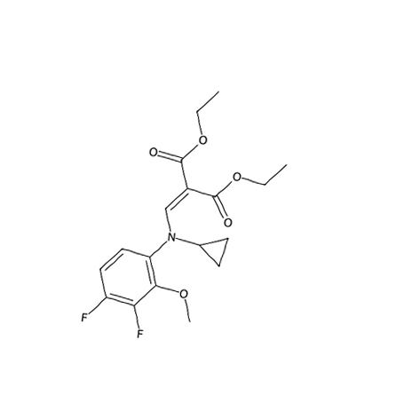 CCOC(=O)C(=CN(c1ccc(F)c(F)c1OC)C1CC1)C(=O)OCC